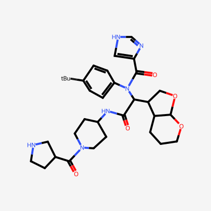 CC(C)(C)c1ccc(N(C(=O)c2c[nH]cn2)C(C(=O)NC2CCN(C(=O)C3CCNC3)CC2)C2COC3OCCCC32)cc1